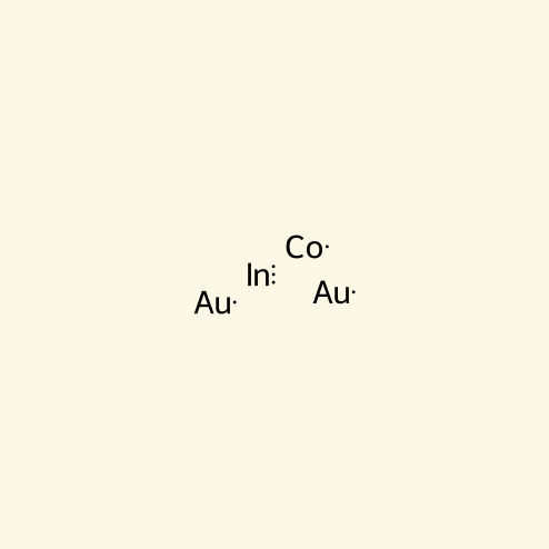 [Au].[Au].[Co].[In]